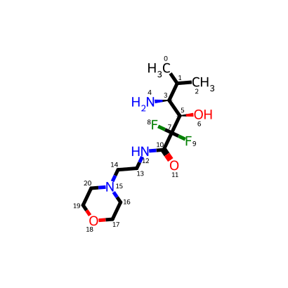 CC(C)[C@H](N)[C@@H](O)C(F)(F)C(=O)NCCN1CCOCC1